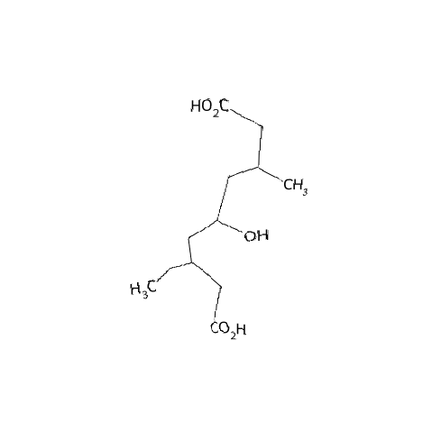 CC(CC(=O)O)CC(O)CC(C)CC(=O)O